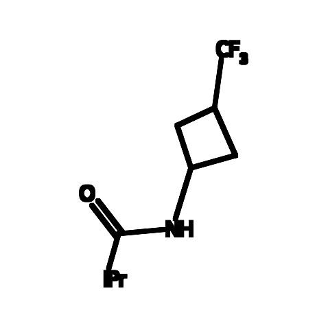 CC(C)C(=O)NC1CC(C(F)(F)F)C1